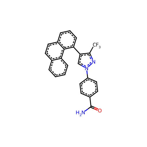 NC(=O)c1ccc(-n2cc(-c3cccc4ccc5ccccc5c34)c(C(F)(F)F)n2)cc1